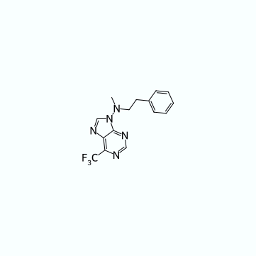 CN(CCc1ccccc1)n1cnc2c(C(F)(F)F)ncnc21